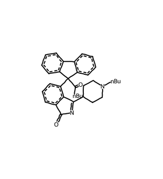 CCCCC(=O)C1(c2cccc3c2C(C2CCN(CCCC)CC2)=NC3=O)c2ccccc2-c2ccccc21